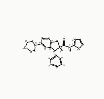 C[C@]1(C(=O)Nc2nccs2)Cc2ccc(N3CCOCC3)cc2[C@H]1c1ccccc1